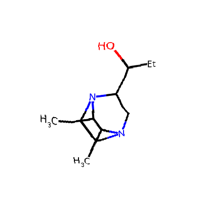 CCC(O)C1CN2CCN1C(C)C2C